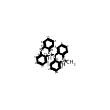 C[SiH]1c2ccccc2N([SiH]2c3ccccc3Sc3ccccc32)c2ccccc21